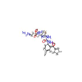 Cc1ccc(NC(=O)Nc2nc(CNS(=O)(=O)CCN)cs2)c(C(=O)C2CCCC2)c1